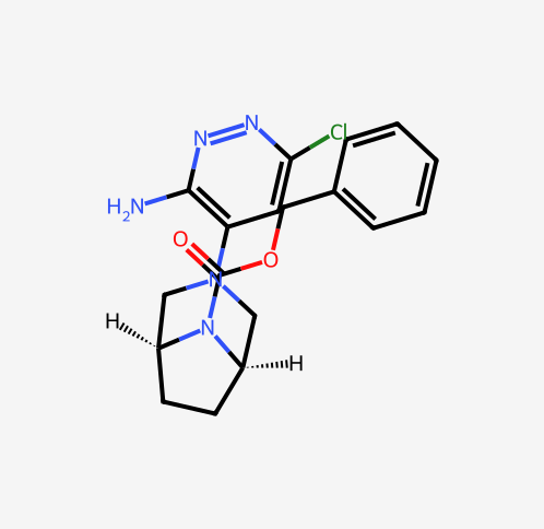 Nc1nnc(Cl)cc1N1C[C@H]2CC[C@@H](C1)N2C(=O)OCc1ccccc1